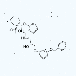 O=[PH](O)C1(C(CCNCC(O)COc2cccc(OCc3ccccc3)c2)Oc2ccccc2)CCCCC1